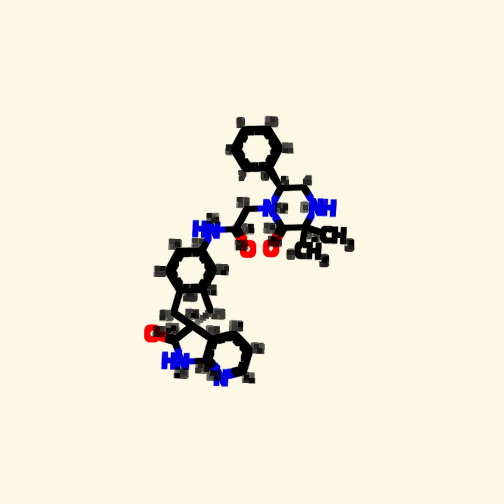 CC1(C)NC[C@H](c2ccccc2)N(CC(=O)Nc2ccc3c(c2)C[C@@]2(C3)C(=O)Nc3ncccc32)C1=O